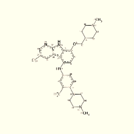 Cc1cc(Nc2ccc(OCC3CCN(C)CC3)c3[nH]c4ncc(Cl)cc4c23)ccc1N1CCN(C)CC1